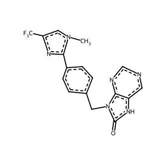 Cn1cc(C(F)(F)F)nc1-c1ccc(Cn2c(=O)[nH]c3cncnc32)cc1